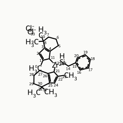 CC1=CC2=C(CCCC2(C)C)[CH]1[Zr+2](=[SiH]Cc1ccccc1)[CH]1C(C)=CC2=C1CCCC2(C)C.[Cl-].[Cl-]